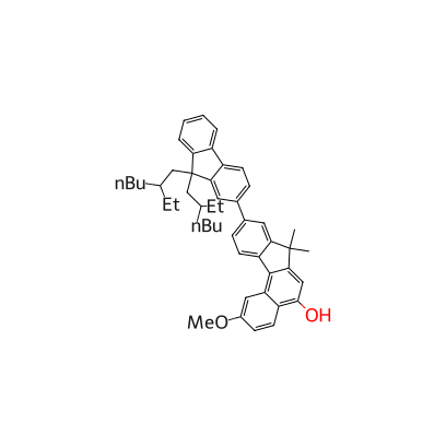 CCCCC(CC)CC1(CC(CC)CCCC)c2ccccc2-c2ccc(-c3ccc4c(c3)C(C)(C)c3cc(O)c5ccc(OC)cc5c3-4)cc21